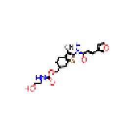 N#Cc1c(NC(=O)C=Cc2ccoc2)sc2c1CCC(COC(=O)NCCO)C2